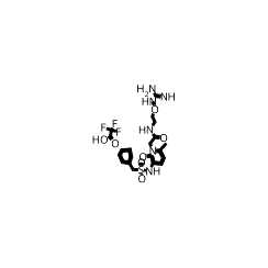 Cc1ccc(NS(=O)(=O)Cc2ccccc2)c(=O)n1CC(=O)NCCONC(=N)N.O=C(O)C(F)(F)F